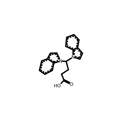 O=C(O)CCC(n1ccc2ccccc21)n1ccc2ccccc21